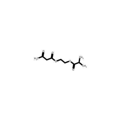 CC(=O)CC(=O)OCCOC(=O)C(C)C